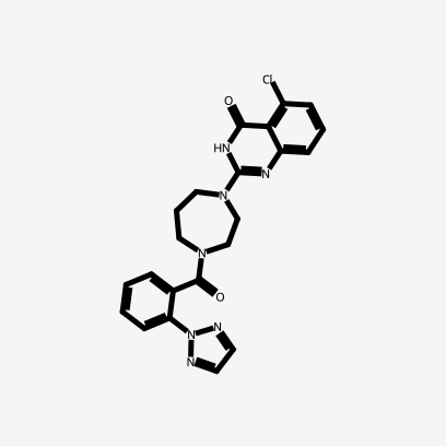 O=C(c1ccccc1-n1nccn1)N1CCCN(c2nc3cccc(Cl)c3c(=O)[nH]2)CC1